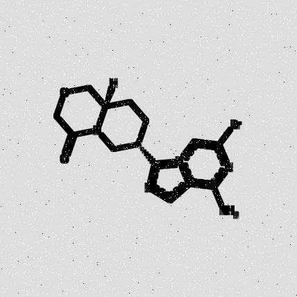 Nc1nc(Br)cn2c([C@H]3CC[C@H]4COCC(=O)N4C3)ncc12